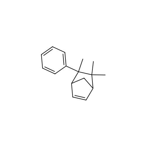 CC1(C)C2C=CC(C2)C1(C)c1ccccc1